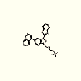 C[Si](C)(C)CCOCn1nc(-c2nc3ccccc3[nH]2)c2cc(-c3cncc4ccccc34)ccc21